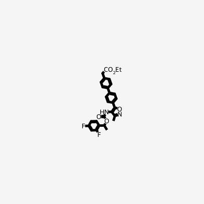 CCOC(=O)Cc1ccc(-c2ccc(-c3onc(C)c3NC(=O)OC(C)c3ccc(F)cc3F)cc2)cc1